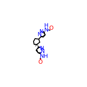 O=CNc1ccc(C2CCC[C@@H](c3ccc(NC=O)nn3)C2)nn1